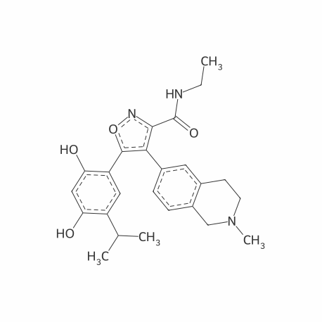 CCNC(=O)c1noc(-c2cc(C(C)C)c(O)cc2O)c1-c1ccc2c(c1)CCN(C)C2